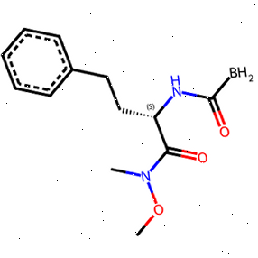 BC(=O)N[C@@H](CCc1ccccc1)C(=O)N(C)OC